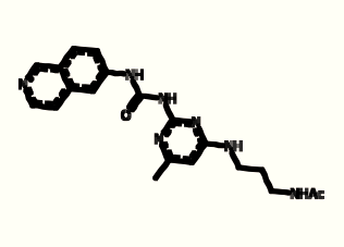 CC(=O)NCCCNc1cc(C)nc(NC(=O)Nc2ccc3cnccc3c2)n1